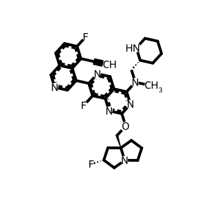 C#Cc1c(F)ccc2cncc(-c3ncc4c(N(C)C[C@H]5CCCCN5)nc(OC[C@@]56CCCN5C[C@H](F)C6)nc4c3F)c12